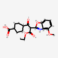 CCOC(=O)C(C(=O)C1CCC(C(=O)O)CC1)c1nc2c(OC)cccc2o1